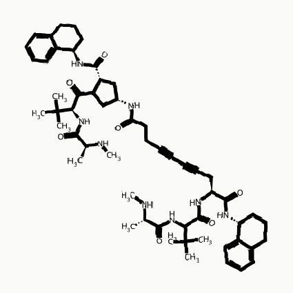 CN[C@@H](C)C(=O)NC(C(=O)N[C@@H](CC#CC#CCCC(=O)N[C@@H]1CC(C(=O)[C@@H](NC(=O)[C@H](C)NC)C(C)(C)C)[C@H](C(=O)N[C@@H]2CCCc3ccccc32)C1)C(=O)N[C@@H]1CCCc2ccccc21)C(C)(C)C